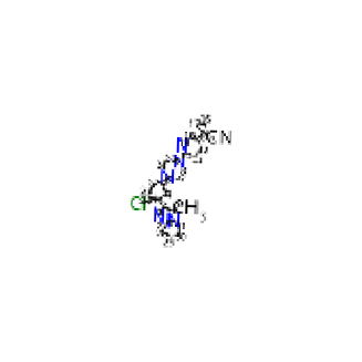 Cc1c(-c2cc(N3CCN(c4ccc(C5(C#N)CC5)cn4)CC3)ccc2Cl)nc2ccccn12